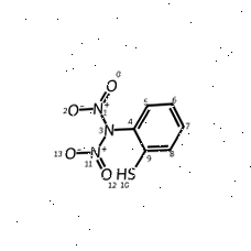 O=[N+]([O-])N(c1ccccc1S)[N+](=O)[O-]